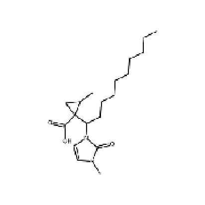 CCCCCCCCCC(n1ccn(C)c1=O)C1(C(=O)O)CC1C